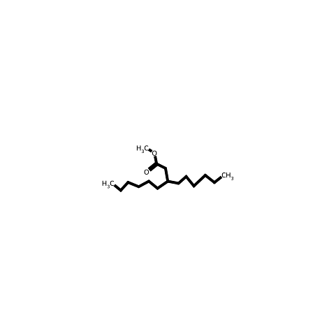 CCCCCCC(CCCCCC)CC(=O)OC